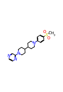 CS(=O)(=O)c1ccc(N2CCC(C3CCN(c4cnccn4)CC3)CC2)cc1